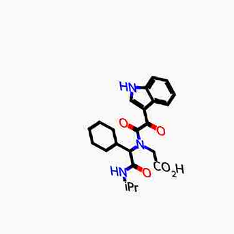 CC(C)NC(=O)C(C1CCCCC1)N(CC(=O)O)C(=O)C(=O)c1c[nH]c2ccccc12